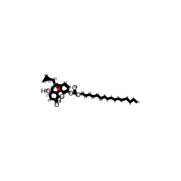 CCCCCCCCCCCCCCCCOC(=O)OC1=C2O[C@H]3C(=O)CC[C@@]4(O)C5CC(C=C1)C2[C@@]34CCN5CC1CC1